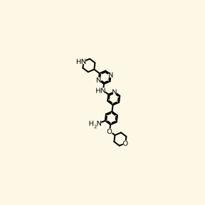 Nc1cc(-c2ccnc(Nc3cncc(C4CCNCC4)n3)c2)ccc1OC1CCOCC1